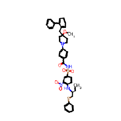 CC[C@@H](CSc1ccccc1)Nc1ccc(S(=O)(=O)NC(=O)c2ccc(N3CCC(Cc4ccccc4-c4ccccc4)(OC)CC3)cc2)cc1[N+](=O)[O-]